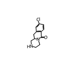 O=C1c2ccc(Cl)cc2CC2CNCCN12